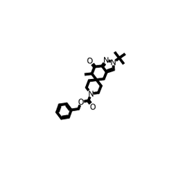 CC1C(=O)c2nn(C(C)(C)C)cc2CC12CCN(C(=O)OCc1ccccc1)CC2